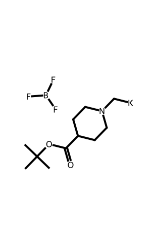 CC(C)(C)OC(=O)C1CCN([CH2][K])CC1.FB(F)F